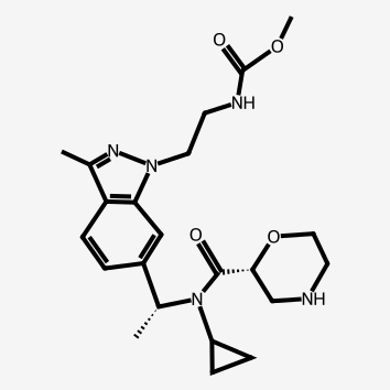 COC(=O)NCCn1nc(C)c2ccc([C@@H](C)N(C(=O)[C@H]3CNCCO3)C3CC3)cc21